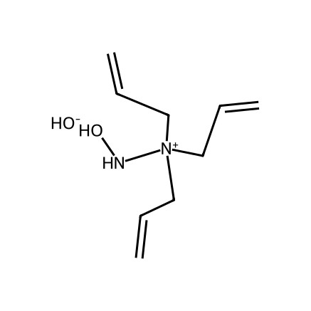 C=CC[N+](CC=C)(CC=C)NO.[OH-]